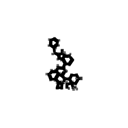 CN(c1nc(-c2ccnc3[nH]c(Sc4ccccc4)cc23)nc2cncc(C3CCC3)c12)C1CCNCC1(C)C